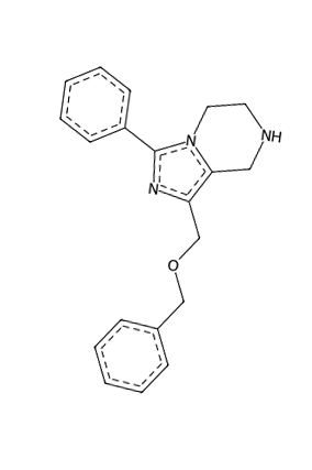 c1ccc(COCc2nc(-c3ccccc3)n3c2CNCC3)cc1